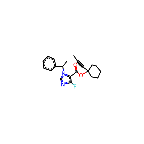 CC#CC1(OC(=O)c2c(F)ncn2[C@H](C)c2ccccc2)CCCCC1